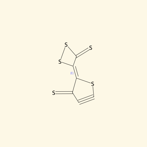 S=C1C#CS/C1=C1/SSC1=S